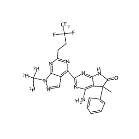 [2H]C([2H])([2H])n1ncc2c(-c3nc(N)c4c(n3)NC(=O)C4(C)c3ccccc3)nc(CCC(F)(F)C(F)(F)F)nc21